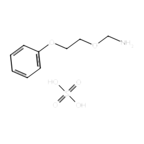 NCOCCOc1ccccc1.O=S(=O)(O)O